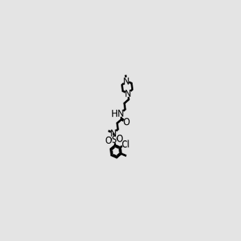 Cc1cccc(S(=O)(=O)N(C)CCC(=O)NCCCN2CCN(C)CC2)c1Cl